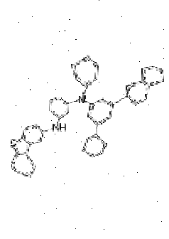 c1ccc(-c2cc(-c3ccc4ccccc4c3)cc(N(c3ccccc3)c3cccc(Nc4ccc5sc6ccccc6c5c4)c3)c2)cc1